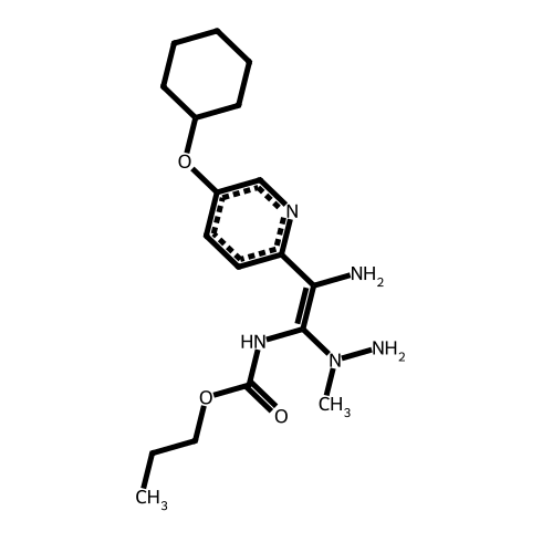 CCCOC(=O)N/C(=C(/N)c1ccc(OC2CCCCC2)cn1)N(C)N